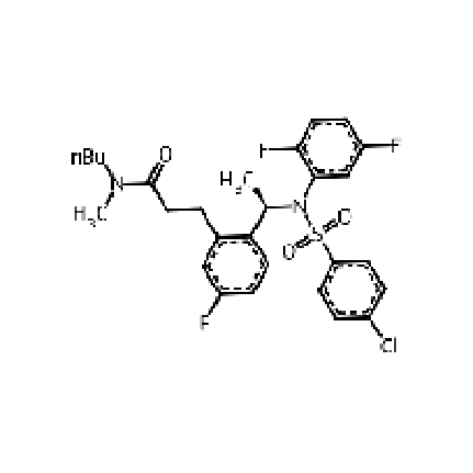 CCCCN(C)C(=O)CCc1cc(F)ccc1[C@@H](C)N(c1cc(F)ccc1F)S(=O)(=O)c1ccc(Cl)cc1